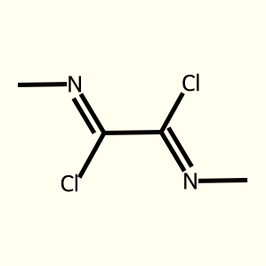 CN=C(Cl)C(Cl)=NC